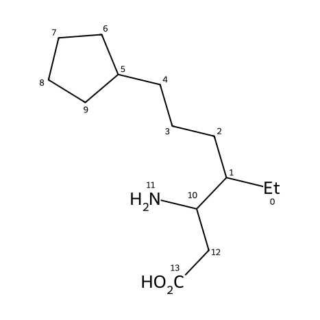 CCC(CCCC1CCCC1)C(N)CC(=O)O